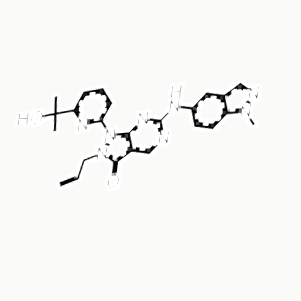 C=CCn1c(=O)c2cnc(Nc3ccc4c(cnn4C)c3)nc2n1-c1cccc(C(C)(C)O)n1